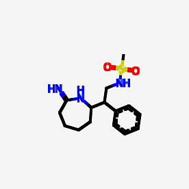 CS(=O)(=O)NCC(c1ccccc1)C1CCCCC(=N)N1